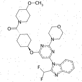 COC1CCN(C(=O)[C@H]2CC[C@H](Oc3cc(-n4c(C(F)F)nc5ccccc54)nc(N4CCOCC4)n3)CC2)CC1